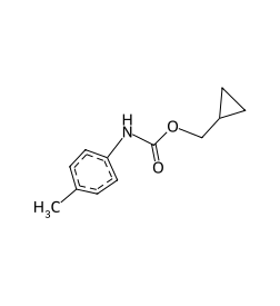 Cc1ccc(NC(=O)OCC2CC2)cc1